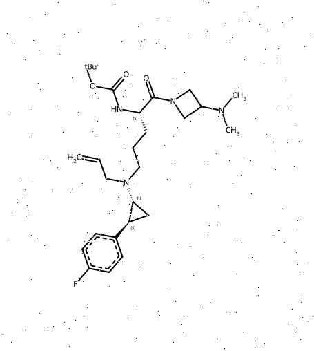 C=CCN(CCC[C@H](NC(=O)OC(C)(C)C)C(=O)N1CC(N(C)C)C1)[C@@H]1C[C@H]1c1ccc(F)cc1